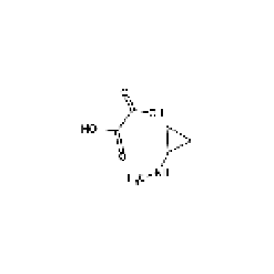 CNC1CC1.O=C(O)C(=O)O